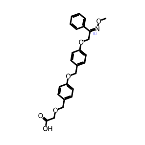 CO/N=C(/COc1ccc(COc2ccc(COCC(=O)O)cc2)cc1)c1ccccc1